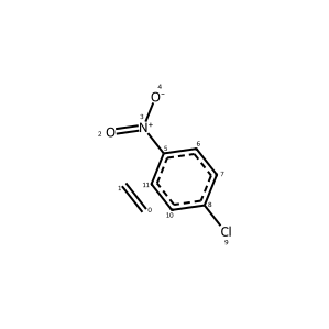 C=C.O=[N+]([O-])c1ccc(Cl)cc1